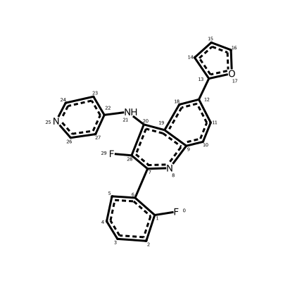 Fc1ccccc1-c1nc2ccc(-c3ccco3)cc2c(Nc2ccncc2)c1F